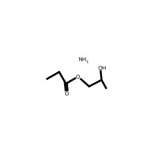 CCC(=O)OCC(C)O.N